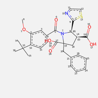 COc1cc(C(=O)N2[C@@H](c3nccs3)[C@@H](C(=O)O)CC2(Cc2ccccc2)C(=O)O)ccc1C(C)(C)C